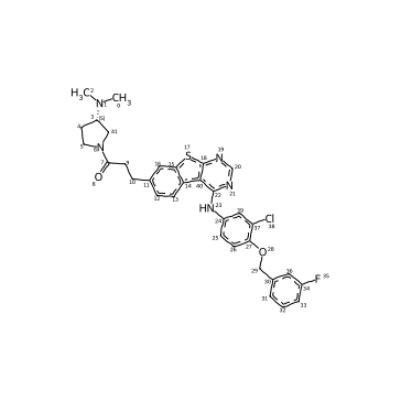 CN(C)[C@H]1CCN(C(=O)CCc2ccc3c(c2)sc2ncnc(Nc4ccc(OCc5cccc(F)c5)c(Cl)c4)c23)C1